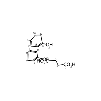 O=C(O)CCC(=O)O.Oc1ccccc1.Oc1ccccc1